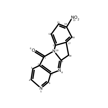 O=c1c2ccncc2nc2n1-c1ccc([N+](=O)[O-])cc1C2